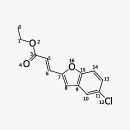 CCOC(=O)C=Cc1cc2cc(Cl)ccc2o1